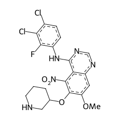 COc1cc2ncnc(Nc3ccc(Cl)c(Cl)c3F)c2c([N+](=O)[O-])c1OC1CCCNC1